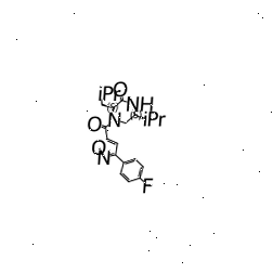 CC(C)C[C@H]1C(=O)N[C@@H](C(C)C)CN1C(=O)c1cc(-c2ccc(F)cc2)no1